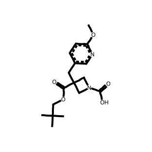 COc1ccc(CC2(C(=O)OCC(C)(C)C)CN(C(=O)O)C2)cn1